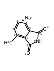 Cc1cccc2c1C(=O)NC2=O.[Na]